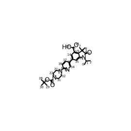 CC(C)N1C(=O)C(C)(C)c2c(C(=O)O)cc(-c3ccc(N4CCN(C(=O)OC(C)(C)C)CC4)nc3)cc21